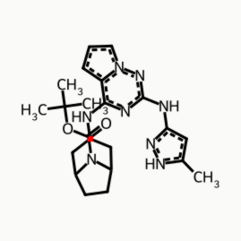 Cc1cc(Nc2nc(NC3CC4CCC(C3)N4C(=O)OC(C)(C)C)c3cccn3n2)n[nH]1